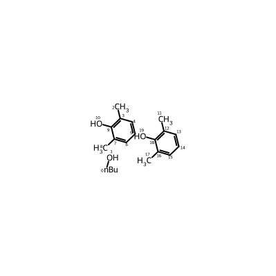 CCCCO.Cc1cccc(C)c1O.Cc1cccc(C)c1O